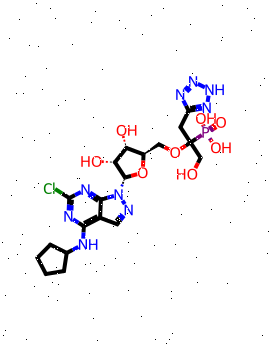 O=P(O)(O)C(CO)(Cc1nn[nH]n1)OC[C@H]1O[C@H](n2ncc3c(NC4CCCC4)nc(Cl)nc32)[C@H](O)[C@@H]1O